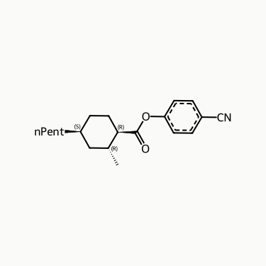 CCCCC[C@H]1CC[C@@H](C(=O)Oc2ccc(C#N)cc2)[C@H](C)C1